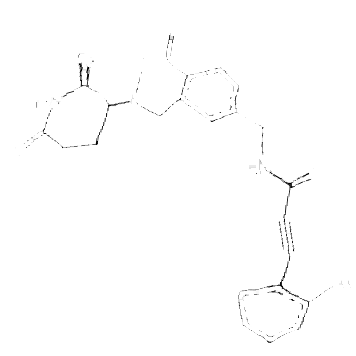 CN(Cc1cc(CNC(=O)C#Cc2ccccc2O)ccc1C=O)C1CCC(=O)NC1=O